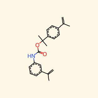 C=C(C)c1ccc(C(C)(C)OC(=O)Nc2cccc(C(=C)C)c2)cc1